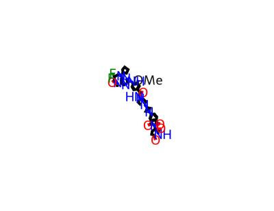 COc1cc(C(=O)NN2CCN(C3CN(c4ccc5c(c4)C(=O)N(C4CCC(=O)NC4=O)C5=O)C3)CC2)ccc1NC1=NC2C(C=N1)N(C)C(=O)C(F)(F)CN2C1CCCC1